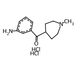 CN1CCC(C(=O)c2cccc(N)c2)CC1.Cl.Cl